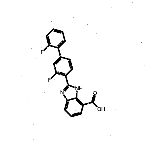 O=C(O)c1cccc2nc(-c3ccc(-c4ccccc4F)cc3F)[nH]c12